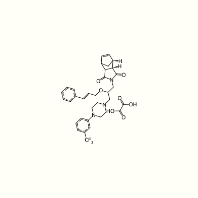 O=C(O)C(=O)O.O=C1C2C3C=C[C@@H](C3)[C@@H]2C(=O)N1CC(CN1CCN(c2cccc(C(F)(F)F)c2)CC1)OCC=Cc1ccccc1